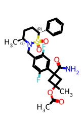 CC(=O)OC1(C)CC(C(N)=O)(c2cc(F)c(CN3[C@@H](C)CC[C@H](c4ccccc4)S3(=O)=O)cc2F)C1